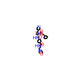 O=C(NCCN1CCOCC1)c1ccc(NC(=O)[C@@H]2CSC(c3ccncc3)N2C(=O)OCc2ccccc2)cc1